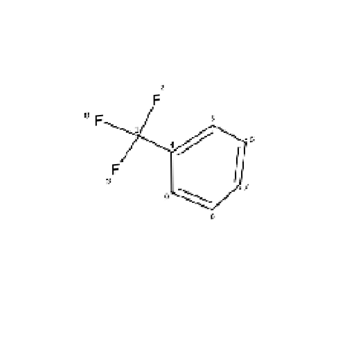 FC(F)(F)c1c[c][c]cc1